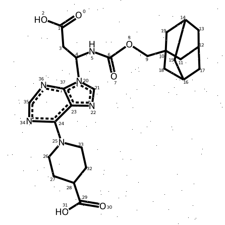 O=C(O)CC(NC(=O)OCC12CC3CC(CC(C3)C1)C2)n1cnc2c(N3CCC(C(=O)O)CC3)ncnc21